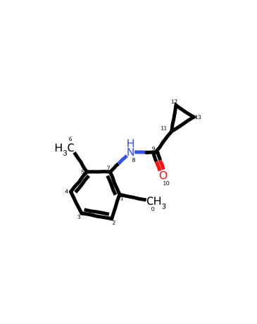 Cc1cccc(C)c1NC(=O)C1CC1